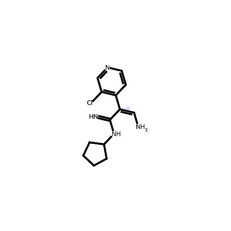 N=C(NC1CCCC1)/C(=C\N)c1ccncc1Cl